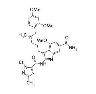 CCn1nc(C)cc1C(=O)Nc1nc2cc(C(N)=O)cc(OC)c2n1CCCN(C)Cc1ccc(OC)cc1OC